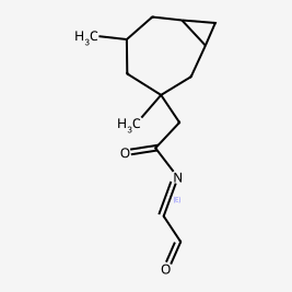 CC1CC2CC2CC(C)(CC(=O)/N=C/C=O)C1